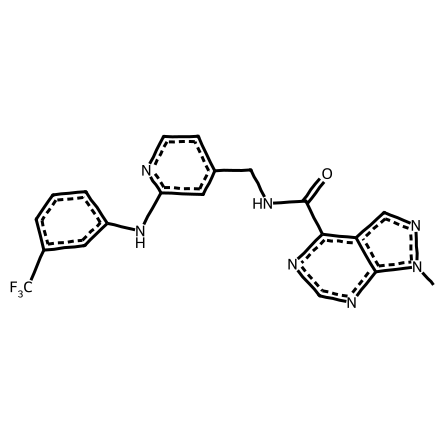 Cn1ncc2c(C(=O)NCc3ccnc(Nc4cccc(C(F)(F)F)c4)c3)ncnc21